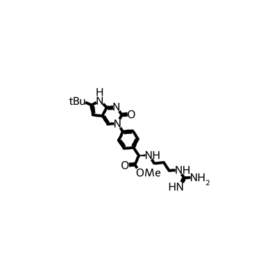 COC(=O)[C@H](NCCCNC(=N)N)c1ccc(-n2cc3cc(C(C)(C)C)[nH]c3nc2=O)cc1